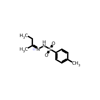 CC/C(C)=N\NS(=O)(=O)c1ccc(C)cc1